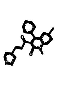 Cc1ccc2c(c1)c(-c1ccccc1)c(C(=O)/C=C/c1ccncc1)c(=O)n2C